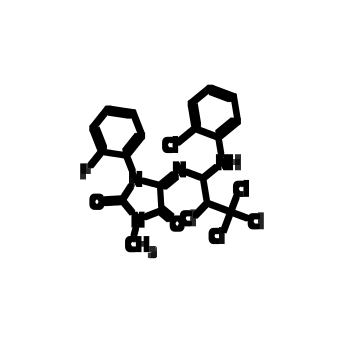 CN1C(=O)C(=NC(Nc2ccccc2Cl)C(Cl)C(Cl)(Cl)Cl)N(c2ccccc2F)C1=O